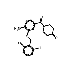 Nc1ncc(C(=O)N2CCC(=O)CC2)cc1OCc1c(Cl)cccc1Cl